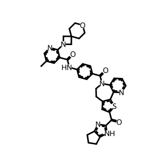 Cc1cnc(N2CC3(CCOCC3)C2)c(C(=O)Nc2ccc(C(=O)N3CCc4cc(C(=O)c5nc6c([nH]5)CCC6)sc4-c4ncccc43)cc2)c1